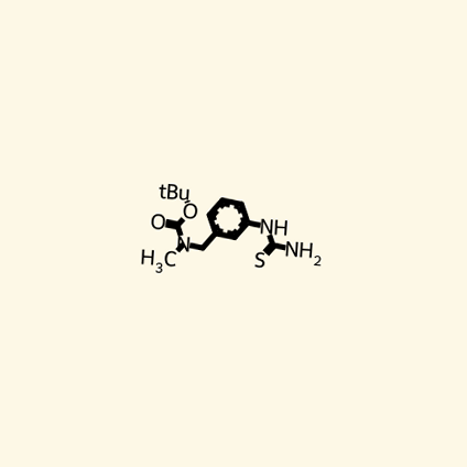 CN(Cc1cccc(NC(N)=S)c1)C(=O)OC(C)(C)C